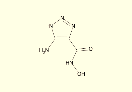 NC1=C(C(=O)NO)N=N[N]1